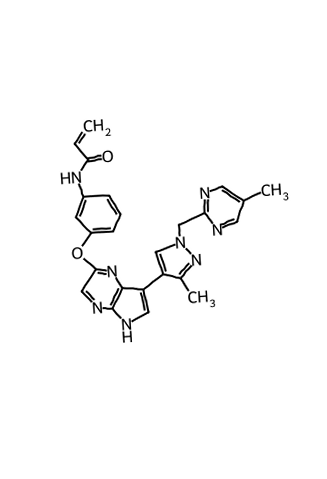 C=CC(=O)Nc1cccc(Oc2cnc3[nH]cc(-c4cn(Cc5ncc(C)cn5)nc4C)c3n2)c1